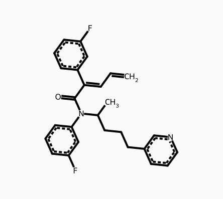 C=CC=C(C(=O)N(c1cccc(F)c1)C(C)CCCc1cccnc1)c1cccc(F)c1